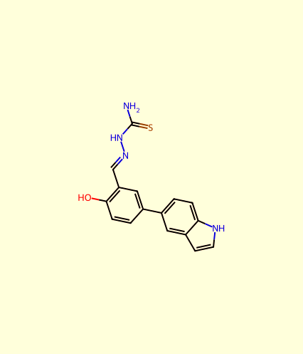 NC(=S)NN=Cc1cc(-c2ccc3[nH]ccc3c2)ccc1O